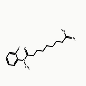 C=C(O)CCCCCCCC(=O)N(C)c1ccccc1F